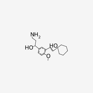 COc1ccc(C(O)CCN)cc1C=CC1(O)CCCCC1